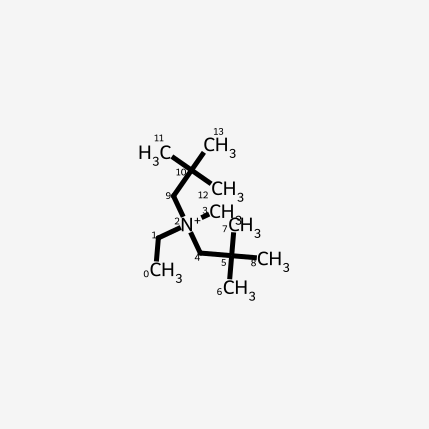 CC[N+](C)(CC(C)(C)C)CC(C)(C)C